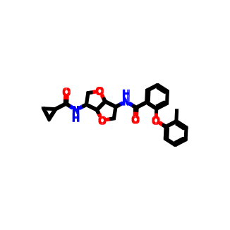 Cc1ccccc1Oc1ccccc1C(=O)NC1COC2C(NC(=O)C3CC3)COC12